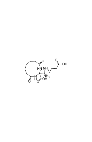 NC(N)(CCCC(=O)O)C1(C(=O)O)NC(=O)CCCCCC(=O)N1